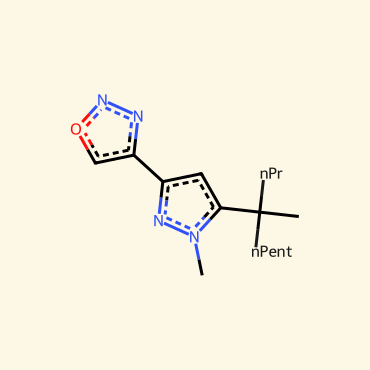 CCCCCC(C)(CCC)c1cc(-c2conn2)nn1C